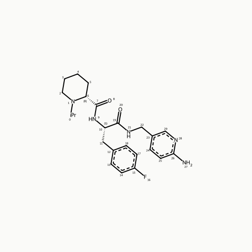 CC(C)N1CCCC[C@@H]1C(=O)N[C@@H](Cc1ccc(F)cc1)C(=O)NCc1ccc(N)nc1